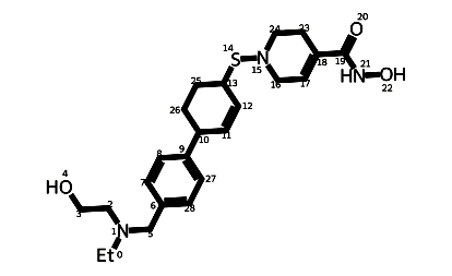 CCN(CCO)Cc1ccc(C2C=CC(SN3CC=C(C(=O)NO)CC3)CC2)cc1